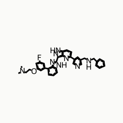 CN(C)CCOc1cc(F)cc(-c2cccc3[nH]c(-c4n[nH]c5ccc(-c6cncc(CNCc7ccccc7)c6)nc45)nc23)c1